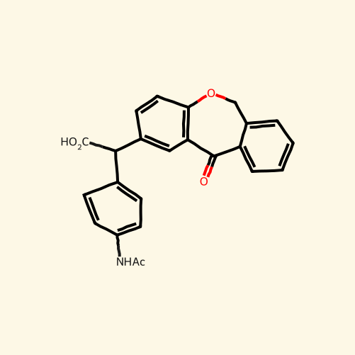 CC(=O)Nc1ccc(C(C(=O)O)c2ccc3c(c2)C(=O)c2ccccc2CO3)cc1